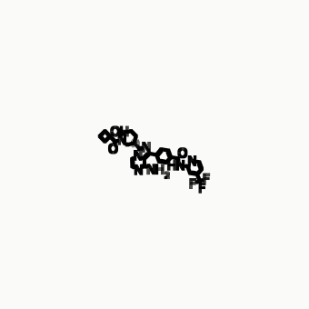 Nc1nccn2c([C@@H]3CCCN(C(=O)C4(O)CCC4)C3)nc(-c3ccc(C(=O)Nc4cc(C(F)(F)F)ccn4)cc3)c12